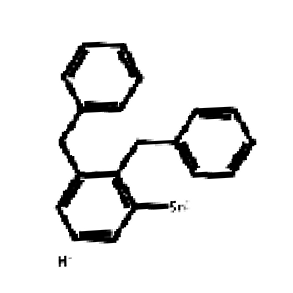 [H-].[Sn][c]1cccc(Cc2ccccc2)c1Cc1ccccc1